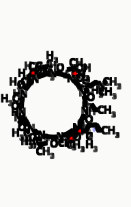 C/C=C/C[C@@H](C)[C@H]1OC(C)[C@H]2C(=O)N(C)[C@@H]1C(=O)N[C@@H](CCC)C(=O)N(C)[C@@H](SCCN(C)C)C(=O)N(C)[C@@H](CC(C)(C)O)C(=O)N[C@H](C(C)C)C(=O)N(C)[C@@](C)(CC(C)C)C(=O)N[C@H](C)C(=O)N[C@]1(C=N1)C(=O)N(C)C(=O)N(C)[C@@H](CC(C)C)C(=O)N2C